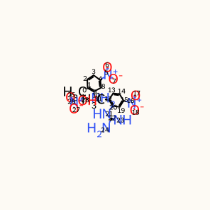 Cc1ccc([N+](=O)[O-])cc1N.Cc1ccc([N+](=O)[O-])cc1NC(=N)N.O=[N+]([O-])O